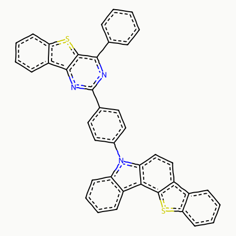 c1ccc(-c2nc(-c3ccc(-n4c5ccccc5c5c6sc7ccccc7c6ccc54)cc3)nc3c2sc2ccccc23)cc1